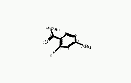 CNC(=O)c1ccc(C(C)(C)C)cc1F